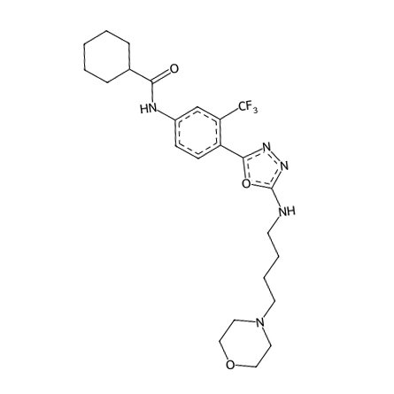 O=C(Nc1ccc(-c2nnc(NCCCCN3CCOCC3)o2)c(C(F)(F)F)c1)C1CCCCC1